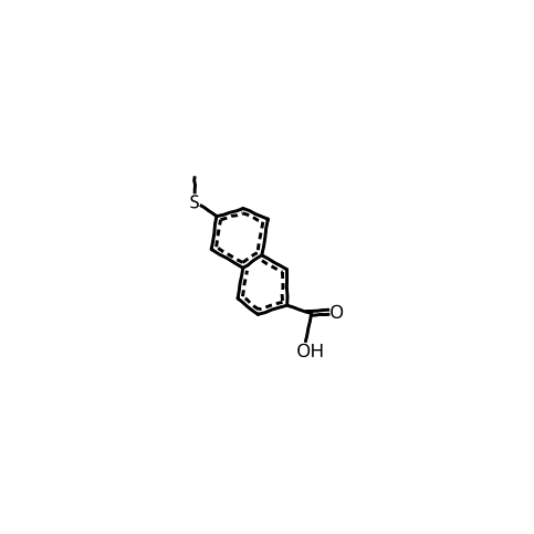 CSc1ccc2cc(C(=O)O)ccc2c1